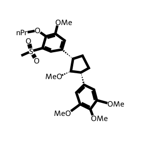 CCCOc1c(OC)cc([C@@H]2CC[C@H](c3cc(OC)c(OC)c(OC)c3)[C@@H]2OC)cc1S(C)(=O)=O